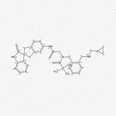 CC(C)(C)C(=O)N(CC(=O)Nc1ccc2c(c1)CC1(C2)C(=O)Nc2ncccc21)Cc1ccccc1CNCC1CC1